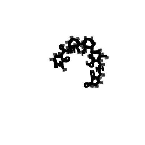 COc1nc(-c2cccc(-c3cccc(NC(=O)c4ccnn(C)c4=O)c3C)c2F)cc(C)c1CNC[C@@H]1CCC(=O)N1